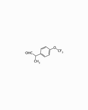 CC([C]=O)c1ccc(OC(F)(F)F)cc1